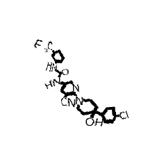 N#Cc1cc(NC(=O)Nc2cccc(C(F)(F)F)c2)cnc1N1CCC(O)(c2ccc(Cl)cc2)CC1